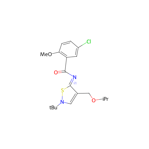 COc1ccc(Cl)cc1C(=O)/N=c1\sn(C(C)(C)C)cc1COC(C)C